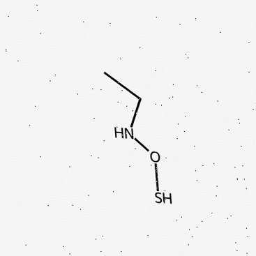 CCNOS